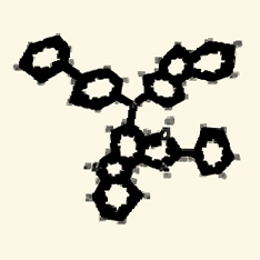 c1ccc(-c2ccc(N(c3ccc4c(ccc5ccccc54)c3)c3cc4oc5ccccc5c4c4nc(-c5ccccc5)oc34)cc2)cc1